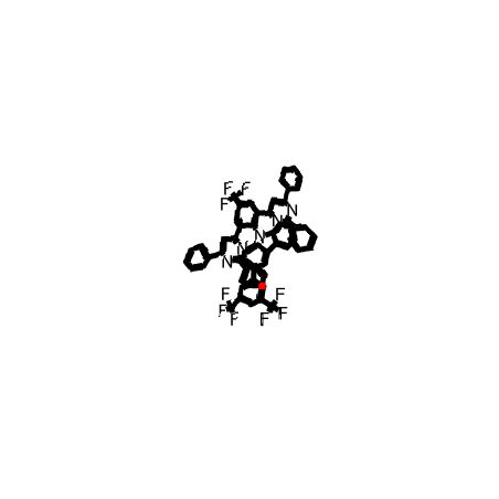 FC(F)(F)c1cc(-c2ccc3c(c2)c2ccccc2n3-c2c(-c3cc(-c4ccccc4)nc(-c4ccccc4)n3)cc(C(F)(F)F)cc2-c2cc(-c3ccccc3)nc(-c3ccccc3)n2)cc(C(F)(F)F)c1